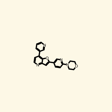 c1cncc(-c2ccnc3cc(-c4ccc(N5CCOCC5)nc4)oc23)c1